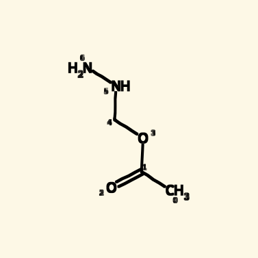 CC(=O)OCNN